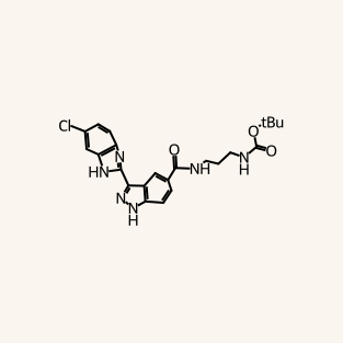 CC(C)(C)OC(=O)NCCCNC(=O)c1ccc2[nH]nc(-c3nc4ccc(Cl)cc4[nH]3)c2c1